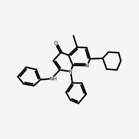 Cc1cc(C2CCCCC2)nc2c1c(=O)cc(Nc1ccccc1)n2-c1ccccc1